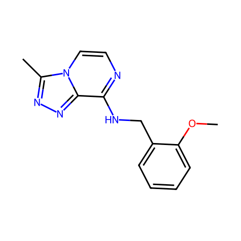 COc1ccccc1CNc1nccn2c(C)nnc12